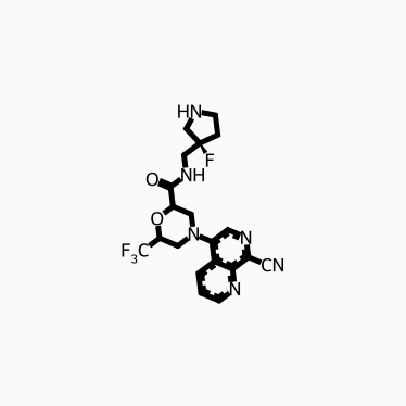 N#Cc1ncc(N2CC(C(=O)NC[C@@]3(F)CCNC3)OC(C(F)(F)F)C2)c2cccnc12